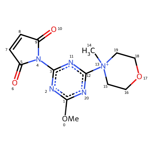 COc1nc(N2C(=O)C=CC2=O)nc([N+]2(C)CCOCC2)n1